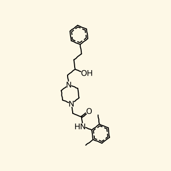 Cc1cccc(C)c1NC(=O)CN1CCN(CC(O)CCc2ccccc2)CC1